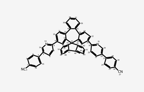 N#Cc1ccc(-c2ccc(-c3ccc4c(c3)C3(c5cc(-c6ccc(-c7ccc(C#N)cc7)cn6)ccc5-c5ccccc5-4)c4ccccc4-c4ccccc43)nc2)cc1